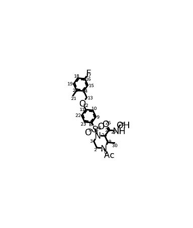 CC(=O)N1CCN(S(=O)(=O)c2ccc(OCc3cc(F)ccc3C)cc2)C(C(=O)NO)C1C